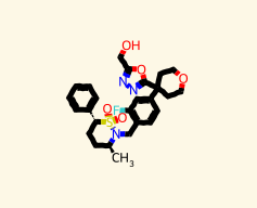 C[C@H]1CC[C@H](c2ccccc2)S(=O)(=O)N1Cc1ccc(C2(c3nnc(CO)o3)CCOCC2)cc1F